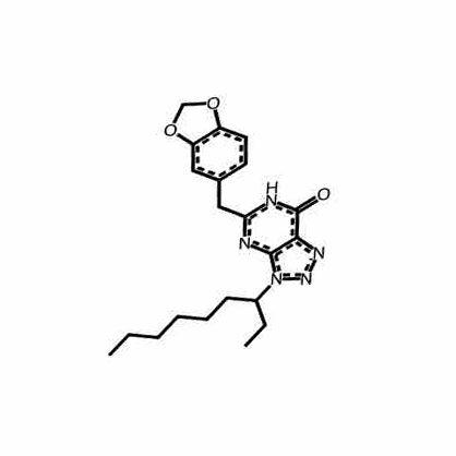 CCCCCCC(CC)n1nnc2c(=O)[nH]c(Cc3ccc4c(c3)OCO4)nc21